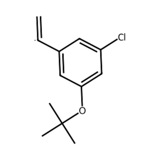 C=[C]c1cc(Cl)cc(OC(C)(C)C)c1